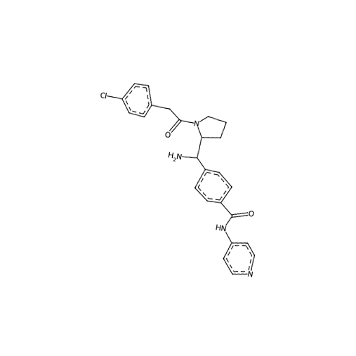 NC(c1ccc(C(=O)Nc2ccncc2)cc1)C1CCCN1C(=O)Cc1ccc(Cl)cc1